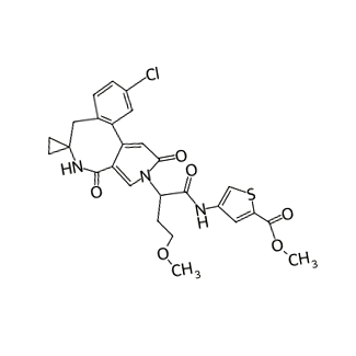 COCCC(C(=O)Nc1csc(C(=O)OC)c1)n1cc2c(cc1=O)-c1cc(Cl)ccc1CC1(CC1)NC2=O